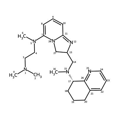 CN(C)CCN(C)C1=CC=CC2=NC(CN(C)[C@H]3CCCc4cccnc43)CN12